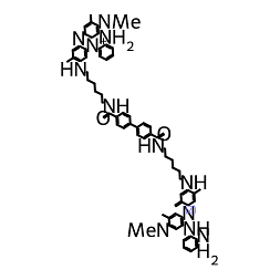 C=C1C=C(NCCCCCCNC(=O)c2ccc(-c3ccc(C(=O)NCCCCCCNc4cc5c(cc4C)nc4cc(C)c(NC)cc4[n+]5-c4ccccc4N)cc3)cc2)C(C)=C/C1=N/c1cc(C)c(NC)cc1Nc1ccccc1N